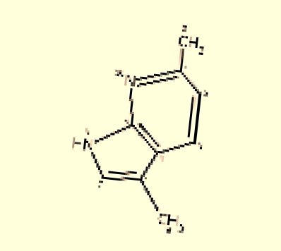 Cc1ccc2c(C)c[nH]c2n1